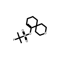 CC(C)(F)S(=O)(=O)OC1=CCCCC12CCOCC2